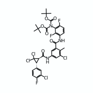 Cc1c(Cl)cc(NC(=O)[C@H]2[C@H](c3ccc(F)c(Cl)c3)C2(Cl)Cl)cc1C(=O)Nc1ccc(F)c(N(C(=O)OC(C)(C)C)C(=O)OC(C)(C)C)c1F